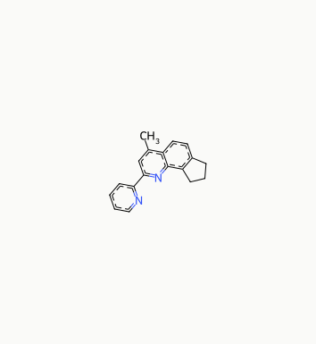 Cc1cc(-c2ccccn2)nc2c3c(ccc12)CCC3